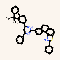 CC1(C)c2ccccc2-c2ccc(C3C=C(c4ccccc4)N=C(c4ccc5c(ccc6ccc7c(c65)NC(c5ccccc5)S7)c4)N3)cc21